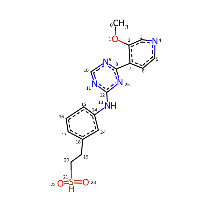 COc1cnccc1-c1ncnc(Nc2cccc(CC[SH](=O)=O)c2)n1